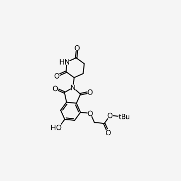 CC(C)(C)OC(=O)COc1cc(O)cc2c1C(=O)N(C1CCC(=O)NC1=O)C2=O